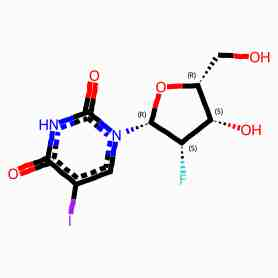 O=c1[nH]c(=O)n([C@@H]2O[C@H](CO)[C@H](O)[C@@H]2F)cc1I